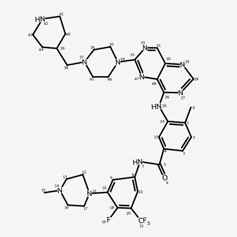 Cc1ccc(C(=O)Nc2cc(N3CCN(C)CC3)c(F)c(C(F)(F)F)c2)cc1Nc1ncnc2cnc(N3CCN(CC4CCNCC4)CC3)nc12